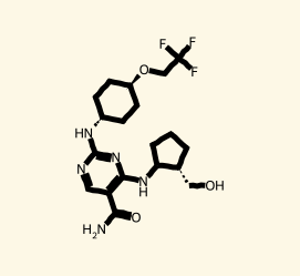 NC(=O)c1cnc(N[C@H]2CC[C@H](OCC(F)(F)F)CC2)nc1NC1CCC[C@@H]1CO